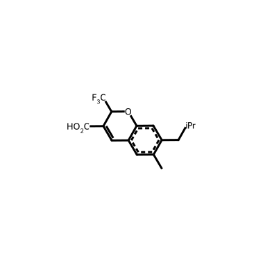 Cc1cc2c(cc1CC(C)C)OC(C(F)(F)F)C(C(=O)O)=C2